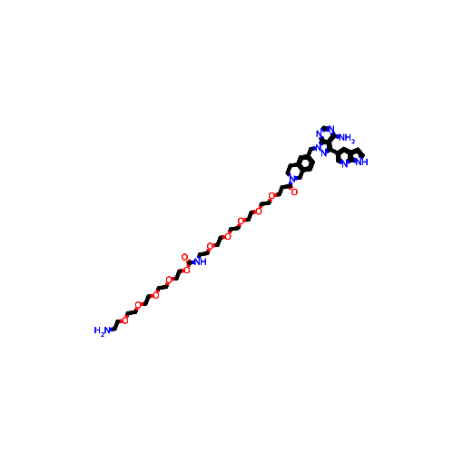 NCCOCCOCCOCCOCCOC(=O)NCCOCCOCCOCCOCCOCCC(=O)N1CCc2cc(Cn3nc(-c4cnc5[nH]ccc5c4)c4c(N)ncnc43)ccc2C1